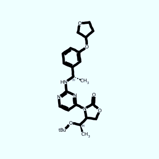 C[C@H](Nc1nccc(N2C(=O)OCC2[C@@H](C)OC(C)(C)C)n1)c1cccc(OC2CCOC2)c1